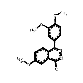 COc1ccc2c(-c3ccc(OC)c(OC)c3)nnc(Cl)c2c1